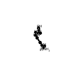 CC(C)[C@H](N)C(=O)N1CCC[C@H]1c1ncc(-c2ccc(C#Cc3ccc(-c4cnc([C@@H]5CCCN5C(=O)[C@H](NC(=O)N5CCC(O)CC5)c5ccccc5)[nH]4)cc3)cc2)[nH]1